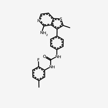 Cc1ccc(F)c(NC(=O)Nc2ccc(-c3c(C)sc4ccnc(N)c34)cc2)c1